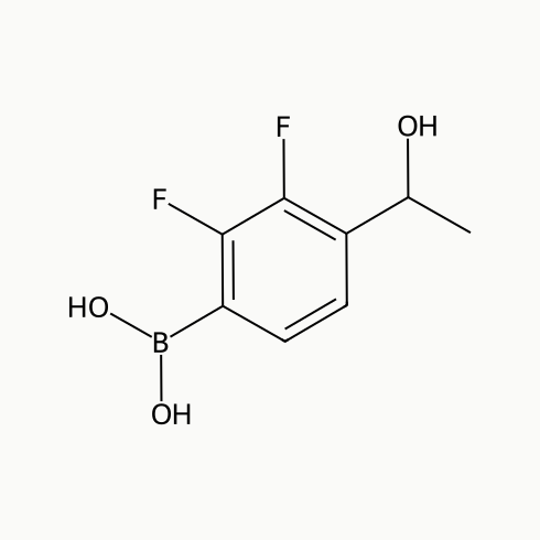 CC(O)c1ccc(B(O)O)c(F)c1F